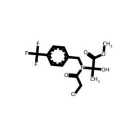 COC(=O)C(C)(O)N(Cc1ccc(C(F)(F)F)cc1)C(=O)CCl